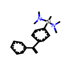 C=C(c1ccccc1)c1ccc([Si](C)(N(C)C)N(C)C)cc1